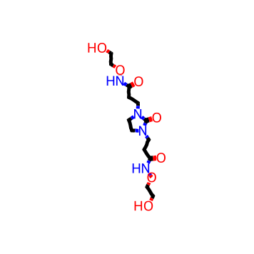 O=C(CCN1CCN(CCC(=O)NOCCO)C1=O)NOCCO